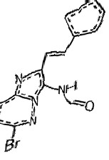 O=CNc1c(/C=C/c2ccccc2)nc2ccc(Br)nn12